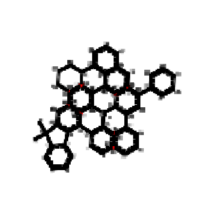 CC1(C)c2ccccc2-c2c(-c3ccccc3N(c3ccc(-c4ccccc4)cc3-c3ccccc3)c3ccccc3-c3cccc4cccc(C5CCCCC5)c34)cccc21